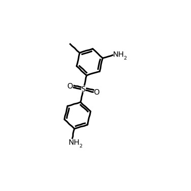 Cc1cc(N)cc(S(=O)(=O)c2ccc(N)cc2)c1